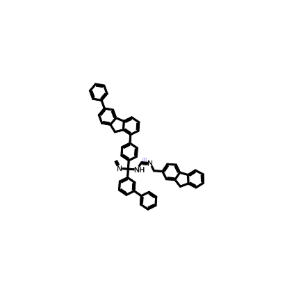 C=NC(N/C=N\Cc1ccc2c(c1)Cc1ccccc1-2)(c1ccc(-c2cccc3c2Cc2ccc(-c4ccccc4)cc2-3)cc1)c1cccc(-c2ccccc2)c1